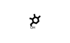 CC1CCC(CO)C(C)C1C